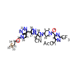 CC(=O)OCc1cc(C(=O)N2CCC(N3CC(CC#N)(n4cc(-c5ncnc6c5ccn6COCCS(C)(C)C)cn4)C3)CC2)nc(C(F)(F)F)n1